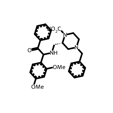 COc1ccc(C(NC[C@H]2CN(Cc3ccccc3)CCN2C(=O)O)C(=O)c2ccccc2)c(OC)c1